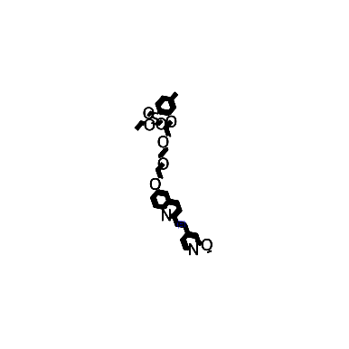 CCOS(=O)(=O)c1ccc(C)cc1OCCOCCOCCOc1ccc2nc(/C=C/c3ccnc(OC)c3)ccc2c1